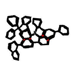 c1ccc(-c2cccc(-c3ccccc3N(c3ccccc3-c3ccc(-c4cccc5ccccc45)cc3)c3cccc4c3-c3ccccc3C4(c3ccccc3)c3ccccc3)c2)cc1